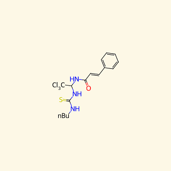 CCCCNC(=S)NC(NC(=O)/C=C/c1ccccc1)C(Cl)(Cl)Cl